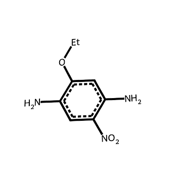 CCOc1cc(N)c([N+](=O)[O-])cc1N